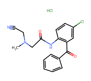 CN(CC#N)CC(=O)Nc1ccc(Cl)cc1C(=O)c1ccccc1.Cl